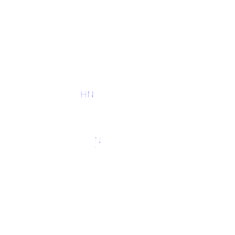 CC1=C(C)N=CNC1